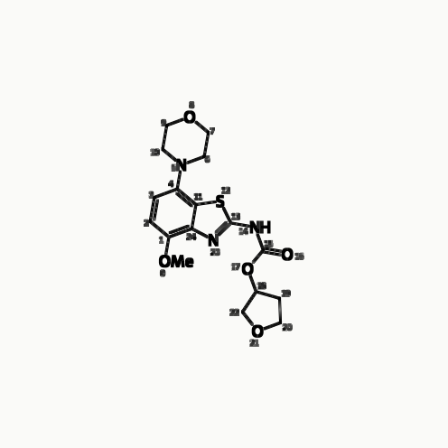 COc1ccc(N2CCOCC2)c2sc(NC(=O)OC3CCOC3)nc12